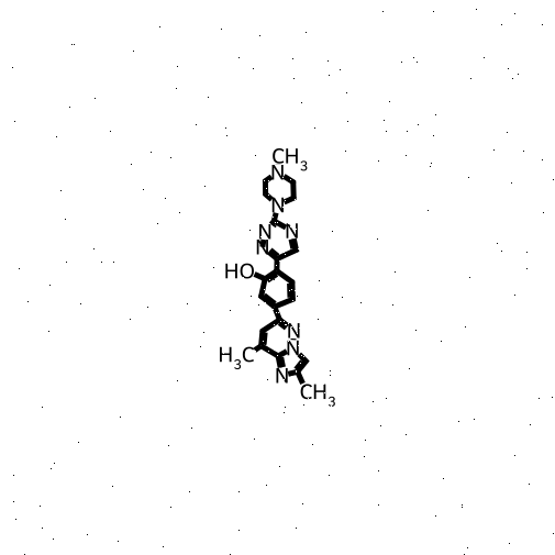 Cc1cn2nc(-c3ccc(-c4cnc(N5CCN(C)CC5)nn4)c(O)c3)cc(C)c2n1